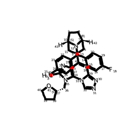 Cc1nc2c(N3C[C@H]4CC[C@@H](C3)N4C(c3ccc(F)cc3)c3ccc(F)cc3)nc3nncn3c2n1C[C@@H]1CCCO1